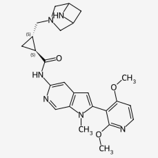 COc1ccnc(OC)c1-c1cc2cc(NC(=O)[C@H]3C[C@@H]3CN3CC4CC(C3)N4)ncc2n1C